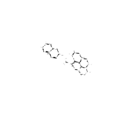 O=C(Sc1ccc2ccccc2c1)c1cc2cccc3ccc4cccc1c4c32